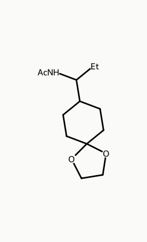 CCC(NC(C)=O)C1CCC2(CC1)OCCO2